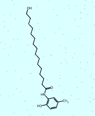 Cc1ccc(O)c(NC(=O)CCCCCCCCCCCCCCCO)c1